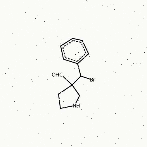 O=CC1(C(Br)c2ccccc2)CCNC1